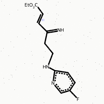 CCOC(=O)/C=C/C(=N)CCNc1ccc(F)cn1